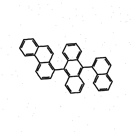 c1ccc2c(-c3c4ccccc4c(-c4cccc5c4ccc4ccccc45)c4ccccc34)cccc2c1